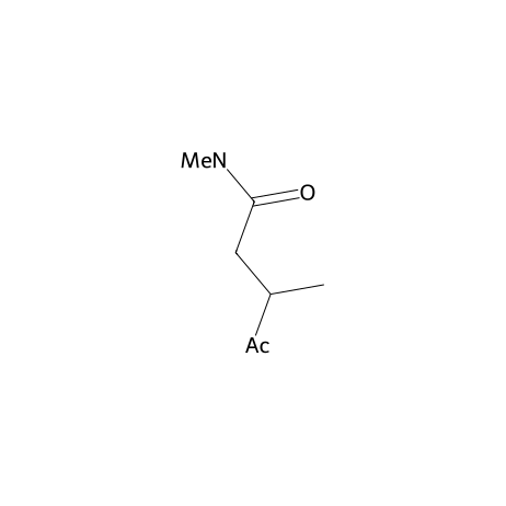 CNC(=O)CC(C)C(C)=O